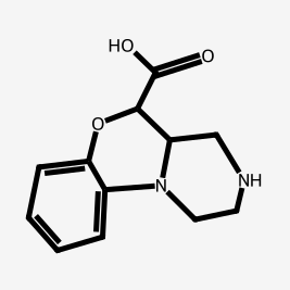 O=C(O)C1Oc2ccccc2N2CCNCC12